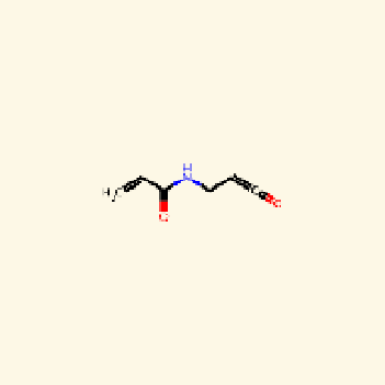 C=CC(=O)NCC=C=O